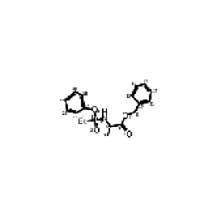 CCP(=O)(N[C@H](C)C(=O)OCc1ccccc1)Oc1ccccc1